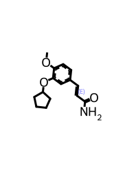 COc1ccc(/C=C/C(N)=O)cc1OC1CCCC1